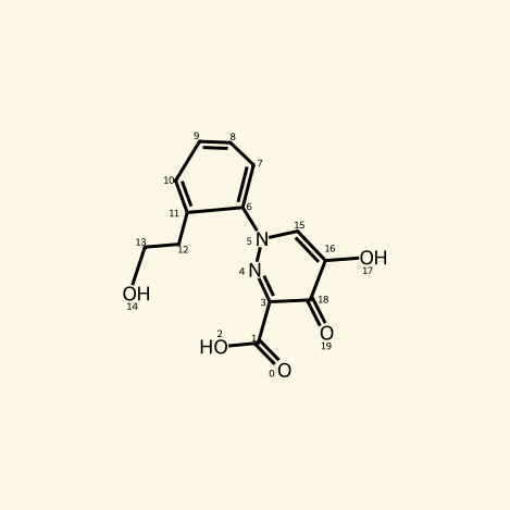 O=C(O)c1nn(-c2ccccc2CCO)cc(O)c1=O